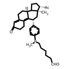 CC(=O)[C@H]1CCC2[C@@H]3CCC4=CC(=O)CCC4=C3[C@@H](c3ccc(N(C)CCCCCC=O)cc3)C[C@@]21C